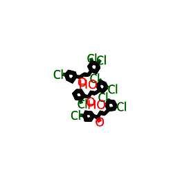 O=C(C=Cc1cc(Cl)cc(Cl)c1O)c1ccc(Cl)cc1.O=C(C=Cc1cc(Cl)cc(Cl)c1O)c1ccccc1Cl.O=C(C=Cc1ccc(Cl)c(Cl)c1)c1ccc(Cl)cc1